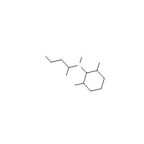 CCCC(O)N(C)C1C(C)CCCC1C